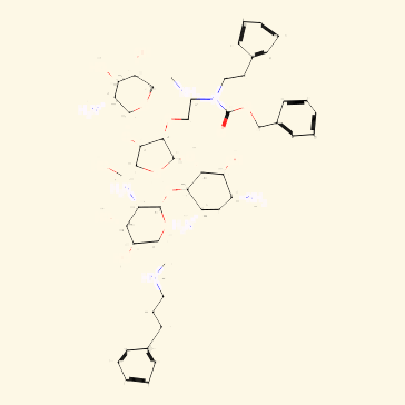 NC[C@@H]1O[C@H](O[C@H]2[C@@H](OCCN(CCc3ccccc3)C(=O)OCc3ccccc3)[C@H](O[C@@H]3[C@@H](O)[C@H](N)C[C@H](N)[C@H]3O[C@H]3O[C@H](CNCCCc4ccccc4)[C@@H](O)[C@H](O)[C@H]3N)O[C@@H]2CO)[C@H](N)[C@@H](O)[C@@H]1O